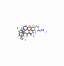 COC(=O)C1=C(COCCN)NC(C)=C(C(=O)NC23CC4C[C@@](C)(C2)C[C@](C)(C4)C3)C1C1=C(Cl)CCC=C1